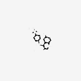 CCOC(=O)c1cnc2ccc(Cl)cc2c1Nc1ccc(S(N)(=O)=O)cc1